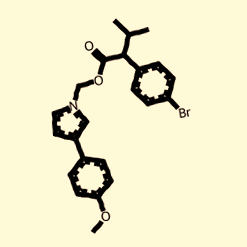 COc1ccc(-c2ccn(COC(=O)C(c3ccc(Br)cc3)C(C)C)c2)cc1